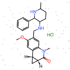 COc1cc2c(cc1CNC1CCC(C)NC1c1ccccc1)N(C)C(=O)[C@@H]1C[C@H]21.Cl